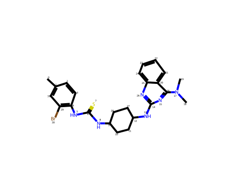 Cc1ccc(NC(=S)NC2CCC(Nc3nc(N(C)C)c4ccccc4n3)CC2)c(Br)c1